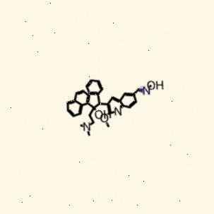 COc1nc2ccc(/C=N/O)cc2cc1C(c1ccccc1)C(O)(CCN(C)C)c1cccc2ccccc12